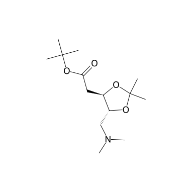 CN(C)C[C@H]1OC(C)(C)O[C@@H]1CC(=O)OC(C)(C)C